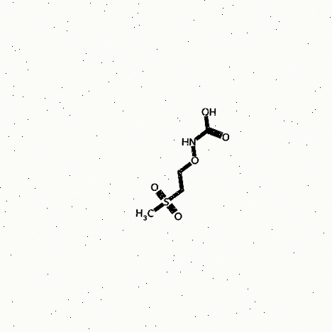 CS(=O)(=O)CCONC(=O)O